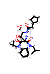 CC(C)CN1C(=O)C(N)(C(=O)[C@H](CO)NC(=O)CC2CCCC2)C(=O)N(CC(C)C)c2ccccc21